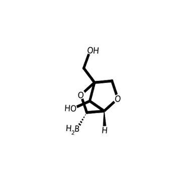 B[C@@H]1OC2(CO)CO[C@H]1C2O